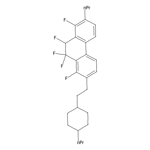 CCCc1ccc2c(c1F)C(F)C(F)(F)c1c-2ccc(CCC2CCC(CCC)CC2)c1F